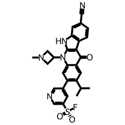 CC(C)c1cc2c(=O)c3c4ccc(C#N)cc4[nH]c3n(C3CN(C)C3)c2cc1-c1cncc(S(=O)(=O)F)c1